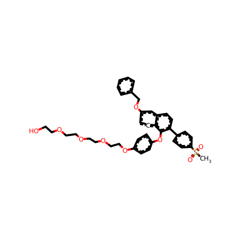 CS(=O)(=O)c1ccc(-c2ccc3cc(OCc4ccccc4)ccc3c2Oc2ccc(OCCOCCOCCOCCO)cc2)cc1